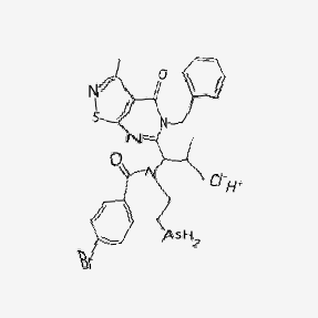 Cc1nsc2nc(C(C(C)C)N(CC[AsH2])C(=O)c3ccc(Br)cc3)n(Cc3ccccc3)c(=O)c12.[Cl-].[H+]